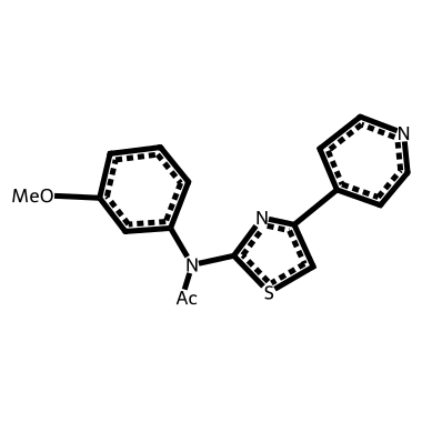 COc1cccc(N(C(C)=O)c2nc(-c3ccncc3)cs2)c1